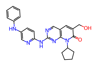 O=c1c(CO)cc2cnc(Nc3ccc(Nc4ccccc4)cn3)nc2n1C1CCCC1